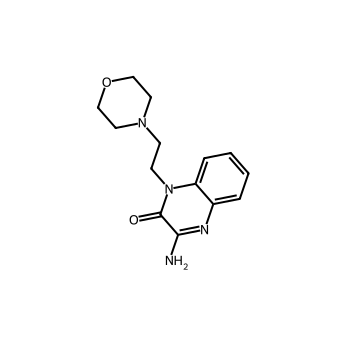 Nc1nc2ccccc2n(CCN2CCOCC2)c1=O